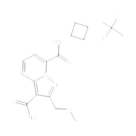 COCc1nn2c(C(=O)N[C@H]3C[C@@H](OC(F)(F)F)C3)ccnc2c1C(N)=O